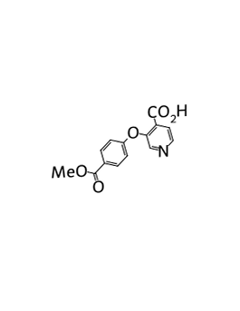 COC(=O)c1ccc(Oc2cnccc2C(=O)O)cc1